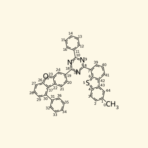 Cc1ccc2sc3c(-c4nc(-c5ccccc5)nc(-c5ccc6c(c5)oc5cccc(-c7ccccc7)c56)n4)cccc3c2c1